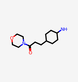 [NH]C1CCC(CCC(=O)N2CCOCC2)CC1